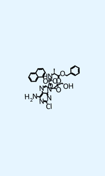 C[C@H](NP(=O)(Oc1cccc2ccccc12)OC1(CO)OC1n1cnc2c(N)nc(Cl)nc21)C(=O)OCc1ccccc1